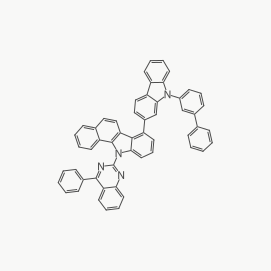 c1ccc(-c2cccc(-n3c4ccccc4c4ccc(-c5cccc6c5c5ccc7ccccc7c5n6-c5nc(-c6ccccc6)c6ccccc6n5)cc43)c2)cc1